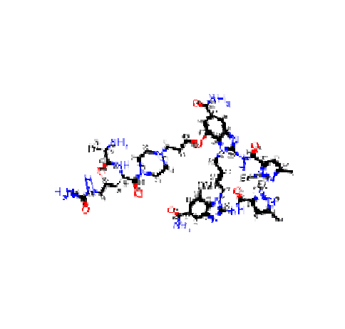 CCn1nc(C)cc1C(=O)Nc1nc2cc(C(N)=O)cc(OC)c2n1C/C=C/Cn1c(NC(=O)c2cc(C)nn2CC)nc2cc(C(N)=O)cc(OCCCN3CCN(C(=O)[C@H](CCCNC(N)=O)NC(=O)[C@H](N)C(C)C)CC3)c21